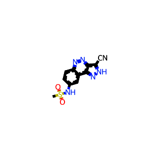 CS(=O)(=O)Nc1ccc2nnc3c(C#N)[nH]nc3c2c1